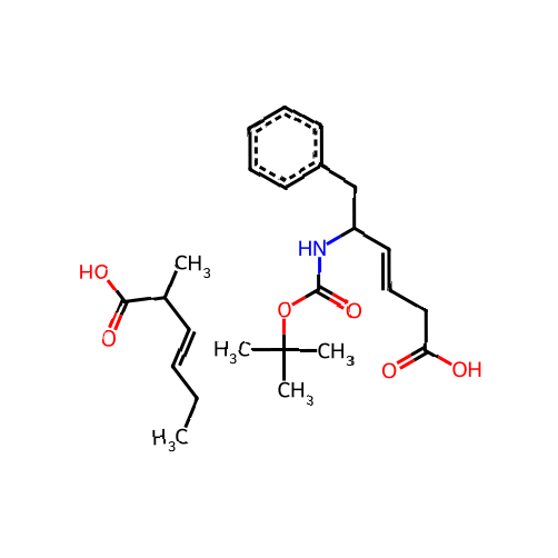 CC(C)(C)OC(=O)NC(/C=C/CC(=O)O)Cc1ccccc1.CC/C=C/C(C)C(=O)O